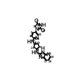 O=C1CN(c2ccc(N[C@H]3CC[C@H](Nc4nc5cccnc5[nH]4)C3)nc2)C(=O)N1